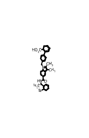 Cc1c(C)n(Cc2ccc(-c3ccccc3C(=O)O)cc2)c2ccc(C(=O)N[C@@H](C)c3ccccc3Br)cc12